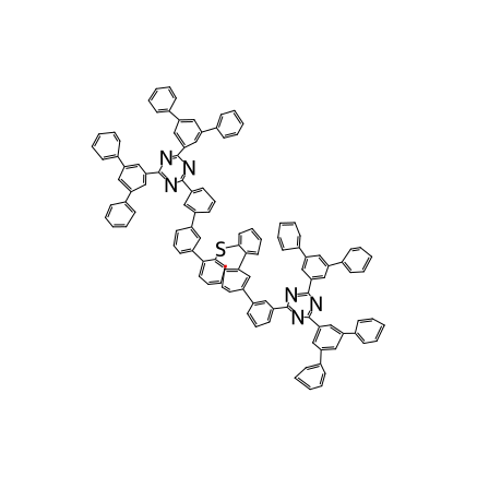 c1ccc(-c2cc(-c3ccccc3)cc(-c3nc(-c4cccc(-c5cccc(-c6ccccc6Sc6ccccc6-c6cccc(-c7cccc(-c8nc(-c9cc(-c%10ccccc%10)cc(-c%10ccccc%10)c9)nc(-c9cc(-c%10ccccc%10)cc(-c%10ccccc%10)c9)n8)c7)c6)c5)c4)nc(-c4cc(-c5ccccc5)cc(-c5ccccc5)c4)n3)c2)cc1